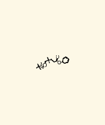 CC(C)(CCC(=O)Oc1ccccc1)CO[Si](C)(C)C(C)(C)C